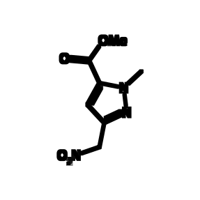 COC(=O)c1cc(C[N+](=O)[O-])nn1C